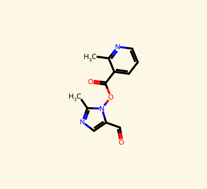 Cc1ncccc1C(=O)On1c(C=O)cnc1C